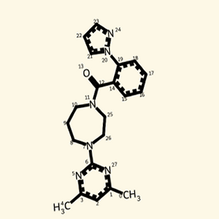 Cc1cc(C)nc(N2CCCN(C(=O)c3ccccc3-n3cccn3)CC2)n1